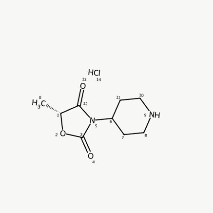 C[C@H]1OC(=O)N(C2CCNCC2)C1=O.Cl